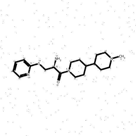 CN1CCC(C2CCN(C(=O)[C@H](N)CSc3ccccn3)CC2)CC1